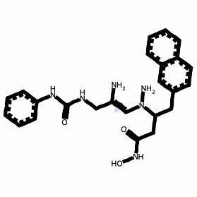 N/C(=C\N(N)C(CC(=O)NO)Cc1ccc2ccccc2c1)CNC(=O)Nc1ccccc1